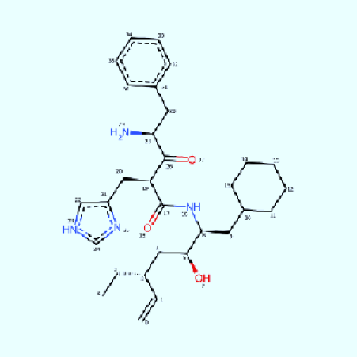 C=C[C@H](CC)C[C@H](O)[C@H](CC1CCCCC1)NC(=O)[C@@H](Cc1c[nH]cn1)C(=O)[C@@H](N)Cc1ccccc1